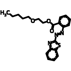 CCCCCOCCOC(=O)c1ccccc1N=Nc1nc2ccccc2s1